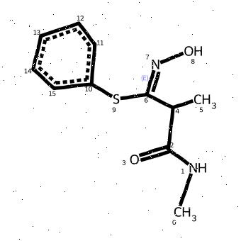 CNC(=O)C(C)/C(=N\O)Sc1ccccc1